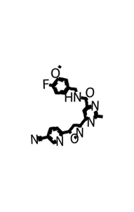 COc1cc(CNC(=O)c2cc(C3=NOC(c4ccc(C#N)cn4)C3)nc(C)n2)ccc1F